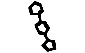 C1=CC(c2ccc(-c3ccccc3)cc2)C=C1